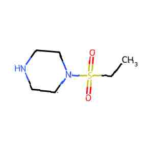 CCS(=O)(=O)N1[CH]CNCC1